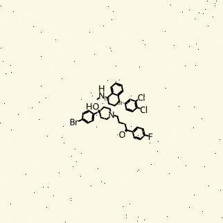 CN[C@H]1CC[C@@H](c2ccc(Cl)c(Cl)c2)c2ccccc21.O=C(CCCN1CCC(O)(c2ccc(Br)cc2)CC1)c1ccc(F)cc1